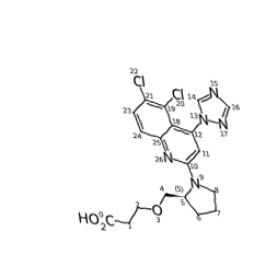 O=C(O)CCOC[C@@H]1CCCN1c1cc(-n2cncn2)c2c(Cl)c(Cl)ccc2n1